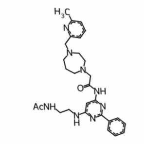 CC(=O)NCCNc1cc(NC(=O)CN2CCCN(Cc3cccc(C)n3)CC2)nc(-c2ccccc2)n1